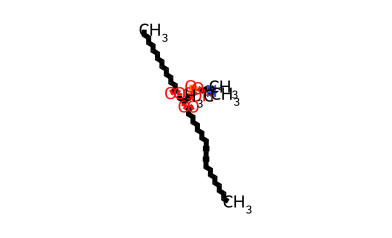 CCCCCCCCCCC#CC#CCCCCCCCCC(=O)OC(COC(=O)CCCCCCCCCCCCCCC)COP(=O)(O)OCC[N+](C)(C)C